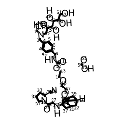 CCN(Cc1ccc(CNC(=O)OCCOCCOC23CC4C[C@@H](CC(NCC(=O)N5CCC[C@H]5C#N)(C4)C2)C3)cc1)C[C@H](O)[C@@H](O)[C@H](O)[C@H](O)CO.O=CO